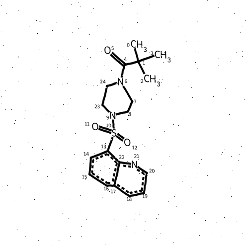 CC(C)(C)C(=O)N1CCN(S(=O)(=O)c2cccc3cccnc23)CC1